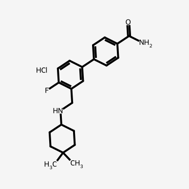 CC1(C)CCC(NCc2cc(-c3ccc(C(N)=O)cc3)ccc2F)CC1.Cl